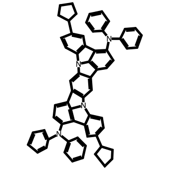 c1ccc(N(c2ccccc2)c2ccc3c4cc5c(cc4n4c6ccc(C7CCCC7)cc6c2c34)c2ccc(N(c3ccccc3)c3ccccc3)c3c4cc(C6CCCC6)ccc4n5c23)cc1